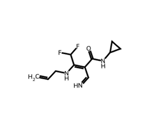 C=CCN/C(=C(\C=N)C(=O)NC1CC1)C(F)F